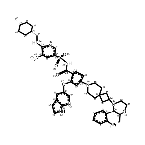 CC(C)c1ccccc1[C@@H]1C(C)OCCN1C1CC2(CCN(c3ccc(C(=O)NS(=O)(=O)c4cnc(NC[C@H]5CC[C@@H](C)CC5)c([N+](=O)[O-])c4)c(Oc4cnc5[nH]ccc5c4)c3)CC2)C1